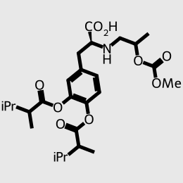 COC(=O)OC(C)CN[C@@H](Cc1ccc(OC(=O)C(C)C(C)C)c(OC(=O)C(C)C(C)C)c1)C(=O)O